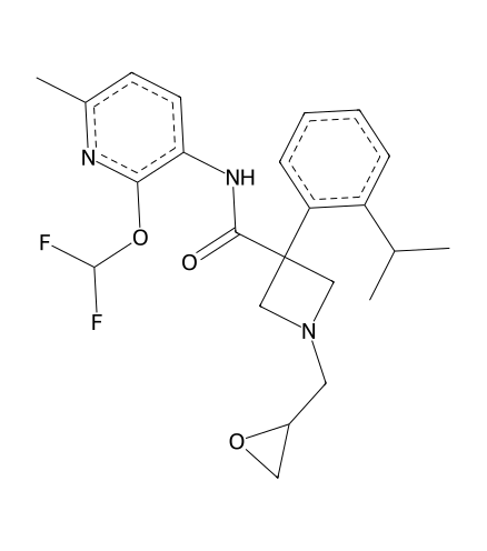 Cc1ccc(NC(=O)C2(c3ccccc3C(C)C)CN(CC3CO3)C2)c(OC(F)F)n1